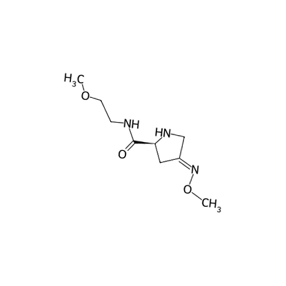 COCCNC(=O)[C@@H]1C/C(=N\OC)CN1